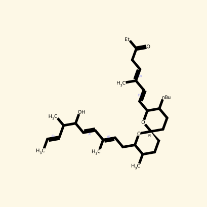 C/C=C/C(C)C(O)/C=C/C(C)=C/CC1O[C@@]2(CCC1C)CCC(CCCC)C(/C=C/C(C)=C/CC(=O)CC)O2